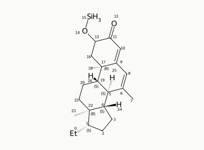 CC[C@H]1CC[C@H]2[C@@H]3C(C)=CC4=CC(=O)C(O[SiH3])C[C@]4(C)[C@H]3CC[C@]12C